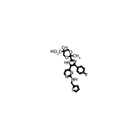 CC1(C(=O)O)COC(C)(c2nc(-c3ccc(F)cc3)c(-c3ccnc(NCc4cccs4)n3)[nH]2)OC1